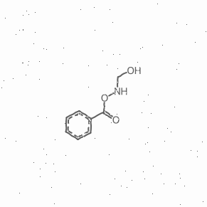 O=C(ONCO)c1ccccc1